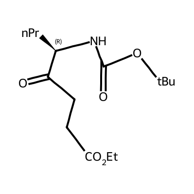 CCC[C@@H](NC(=O)OC(C)(C)C)C(=O)CCC(=O)OCC